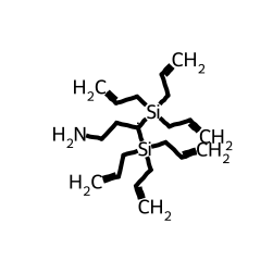 C=CC[Si](CC=C)(CC=C)[C](CCN)[Si](CC=C)(CC=C)CC=C